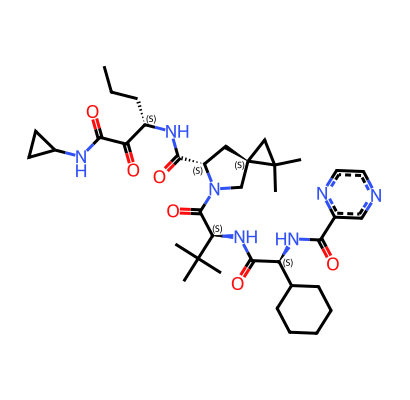 CCC[C@H](NC(=O)[C@@H]1C[C@@]2(CN1C(=O)[C@@H](NC(=O)[C@@H](NC(=O)c1cnccn1)C1CCCCC1)C(C)(C)C)CC2(C)C)C(=O)C(=O)NC1CC1